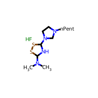 CCCCCN1CCN(C2NC(N(C)C)SS2)C1.F